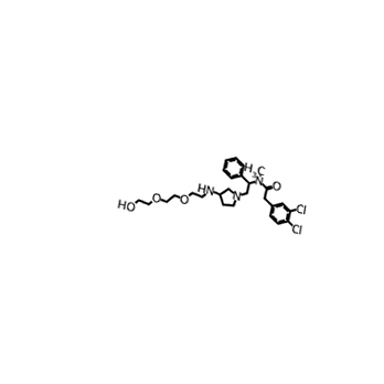 CN(C(=O)Cc1ccc(Cl)c(Cl)c1)C(CN1CCC(NCCOCCOCCO)C1)c1ccccc1